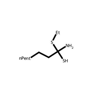 CCCCCCCC(N)(S)SCC